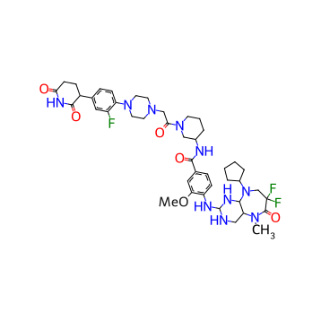 COc1cc(C(=O)NC2CCCN(C(=O)CN3CCN(c4ccc(C5CCC(=O)NC5=O)cc4F)CC3)C2)ccc1NC1NCC2C(N1)N(C1CCCC1)CC(F)(F)C(=O)N2C